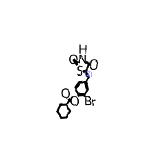 O=C1NC(=O)/C(=C/c2ccc(OC(=O)C3CCCCC3)c(Br)c2)S1